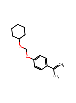 C=C(C)c1ccc(OCOC2CCCCC2)cc1